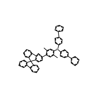 Cc1cc(N(c2ccc(-c3ccccc3)cc2)c2ccc(-c3ccccc3)cc2)c(C)cc1-c1ccc2c(c1)-c1ccccc1C21c2ccccc2-c2ccccc21